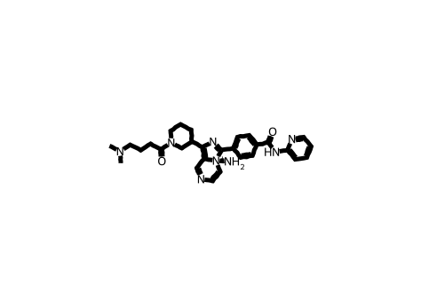 CN(C)CCCC(=O)N1CCCC(C2=C3C=NC=C[N+]3(N)C(c3ccc(C(=O)Nc4ccccn4)cc3)=N2)C1